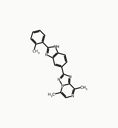 Cc1ccccc1-c1nc2cc(-c3nc4c(C)ncc(C)n4n3)ccc2[nH]1